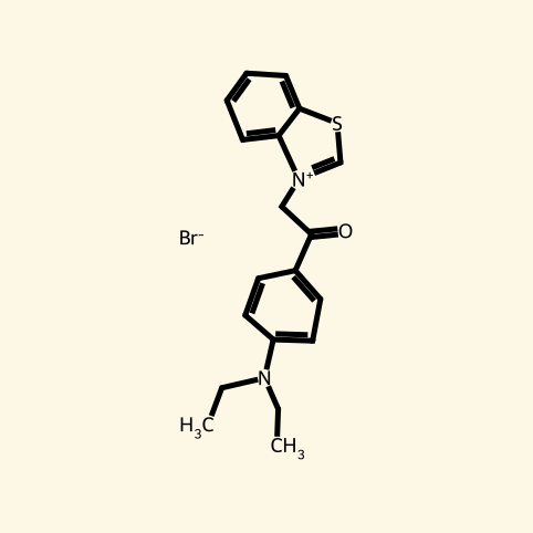 CCN(CC)c1ccc(C(=O)C[n+]2csc3ccccc32)cc1.[Br-]